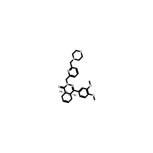 COc1ccc(C2=NN(Cc3cccc(CN4CCOCC4)n3)C(=O)[C@@H]3CC=CC[C@H]23)cc1OC